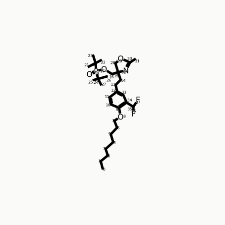 CCCCCCCCOc1ccc(CCC2(COP(=O)(C(C)(C)C)C(C)(C)C)COC(C)=N2)cc1C(F)F